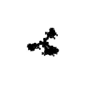 Cc1cc(C)c(C(=O)P(=O)(c2ccccc2)c2ccccc2)c(C)c1C(=O)CCSCCC(=O)OCC(COC(=O)CCSCCC(=O)c1c(C)cc(C)c(C(=O)P(=O)(c2ccccc2)c2ccccc2)c1C)(COC(=O)CCSCCC(=O)c1c(C)cc(C)c(C(=O)P(=O)(c2ccccc2)c2ccccc2)c1C)COC(=O)CCSCCC(=O)c1c(C)cc(C)c(C(=O)P(=O)(c2ccccc2)c2ccccc2)c1C